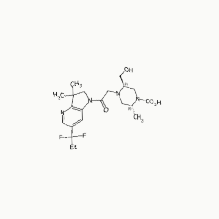 CCC(F)(F)c1cnc2c(c1)N(C(=O)CN1C[C@@H](C)N(C(=O)O)C[C@@H]1CO)CC2(C)C